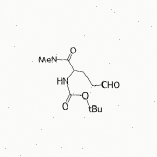 CNC(=O)C(CCC=O)NC(=O)OC(C)(C)C